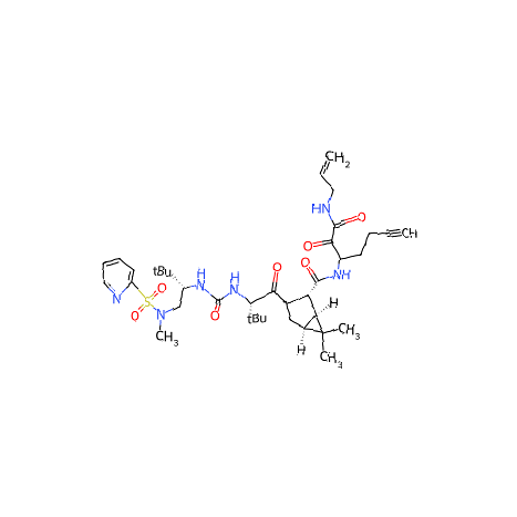 C#CCCC(NC(=O)[C@H]1C(C(=O)[C@@H](NC(=O)N[C@H](CN(C)S(=O)(=O)c2ccccn2)C(C)(C)C)C(C)(C)C)C[C@H]2[C@@H]1C2(C)C)C(=O)C(=O)NCC=C